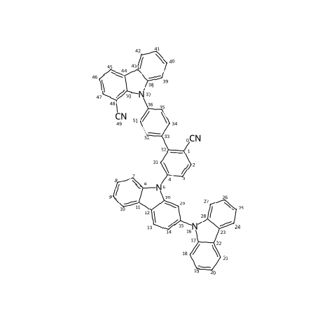 N#Cc1ccc(-n2c3ccccc3c3ccc(-n4c5ccccc5c5ccccc54)cc32)cc1-c1ccc(-n2c3ccccc3c3cccc(C#N)c32)cc1